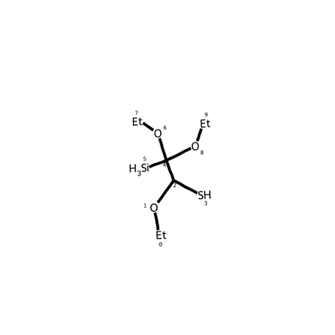 CCOC(S)C([SiH3])(OCC)OCC